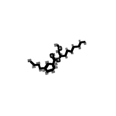 CCCCCCCC(COC)OC(=O)c1cccc(CCCC)c1